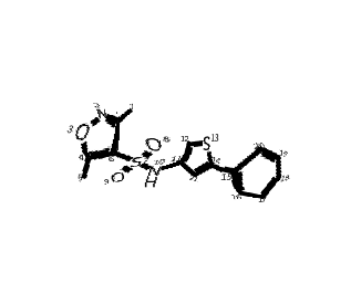 Cc1noc(C)c1S(=O)(=O)Nc1csc(-c2ccccc2)c1